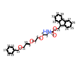 O=C(NCCOCCO/C=C/COCc1ccccc1)OCC1c2ccccc2-c2ccccc21